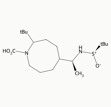 C[C@H](N[S@+]([O-])C(C)(C)C)C1CCCN(C(=O)O)C(C(C)(C)C)CC1